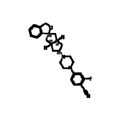 N#Cc1ccc(N2CCN([C@@H]3C[C@@H]4C[C@@]5(C[C@@H]4C3)OCc3ccccc35)CC2)cc1F